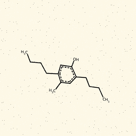 CCCCc1cc(O)c(CCCC)cc1C